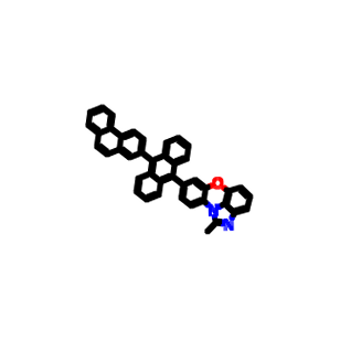 Cc1nc2cccc3c2n1-c1ccc(-c2c4ccccc4c(-c4ccc5c(ccc6ccccc65)c4)c4ccccc24)cc1O3